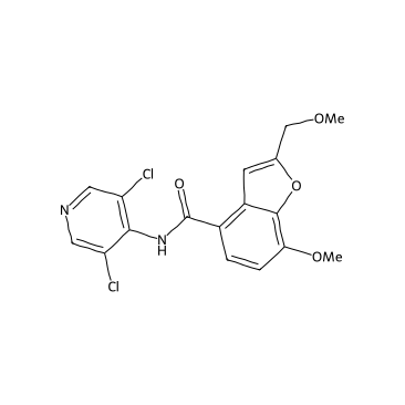 COCc1cc2c(C(=O)Nc3c(Cl)cncc3Cl)ccc(OC)c2o1